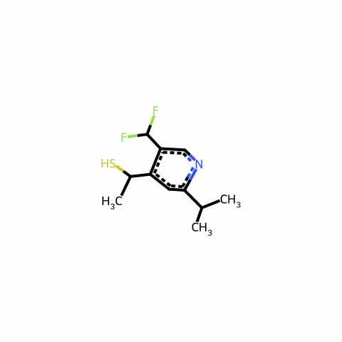 CC(C)c1cc(C(C)S)c(C(F)F)cn1